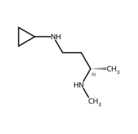 CN[C@@H](C)CCNC1CC1